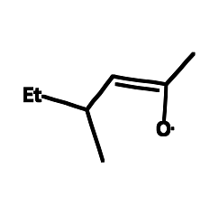 CCC(C)C=C(C)[O]